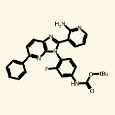 CC(C)(C)OC(=O)Nc1ccc(-n2c(-c3cccnc3N)nc3ccc(-c4ccccc4)nc32)c(F)c1